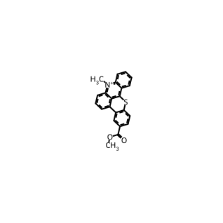 COC(=O)c1ccc2c(c1)-c1cccc3c1c(c1ccccc1[n+]3C)S2